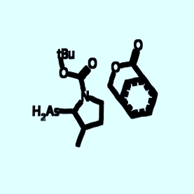 CC1CCN(C(=O)OC(C)(C)C)C1[AsH2].O=C1OCc2cccc1c2